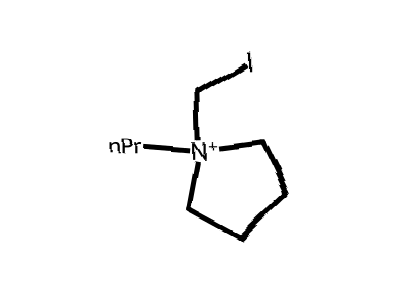 CCC[N+]1(CI)CCCC1